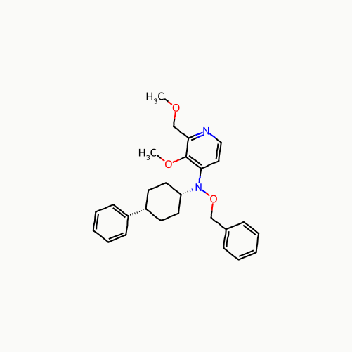 COCc1nccc(N(OCc2ccccc2)[C@H]2CC[C@@H](c3ccccc3)CC2)c1OC